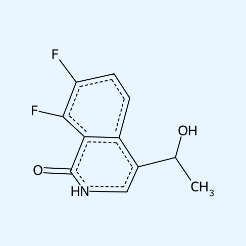 CC(O)c1c[nH]c(=O)c2c(F)c(F)ccc12